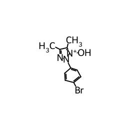 Cc1nn(-c2ccc(Br)cc2)[n+](O)c1C